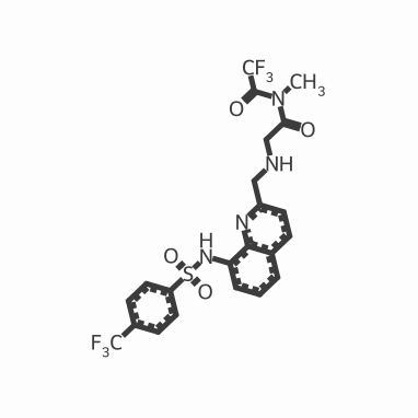 CN(C(=O)CNCc1ccc2cccc(NS(=O)(=O)c3ccc(C(F)(F)F)cc3)c2n1)C(=O)C(F)(F)F